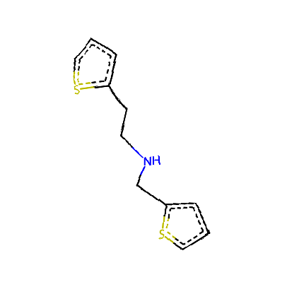 c1csc(CCNCc2cccs2)c1